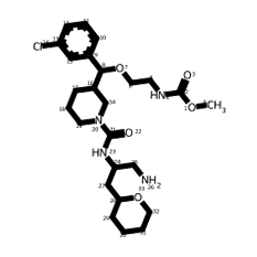 COC(=O)NCCOC(c1cccc(Cl)c1)C1CCCN(C(=O)NC(CN)CC2CCCCO2)C1